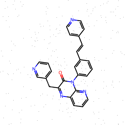 O=c1c(Cc2cccnc2)nc2cccnc2n1-c1cccc(/C=C/c2ccncc2)c1